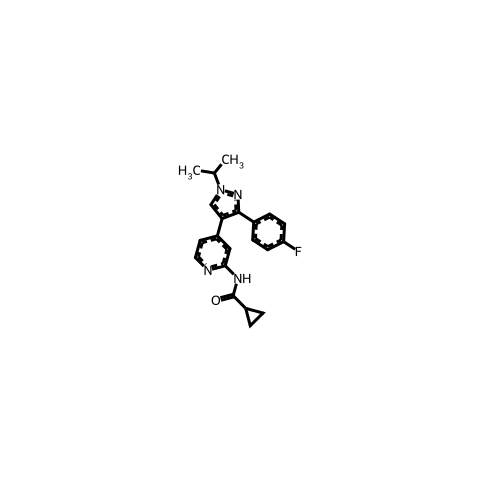 CC(C)n1cc(-c2ccnc(NC(=O)C3CC3)c2)c(-c2ccc(F)cc2)n1